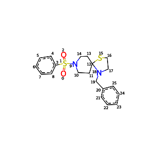 O=S(=O)(c1ccccc1)N1CCC2(CC1)SCCN2Cc1ccccc1